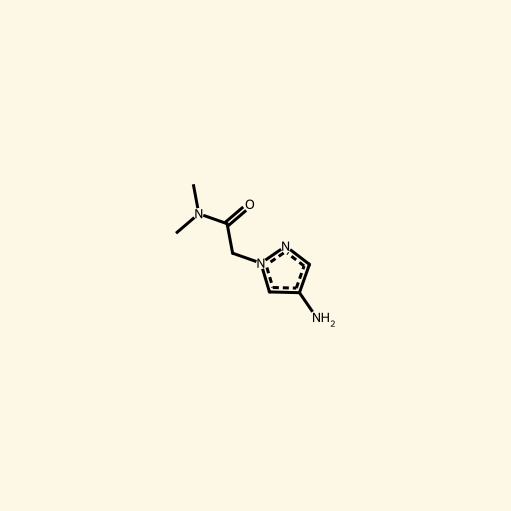 CN(C)C(=O)Cn1cc(N)cn1